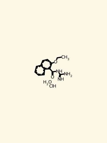 CCOc1ccc2ccccc2c1C(=O)NC(=N)N.Cl.O